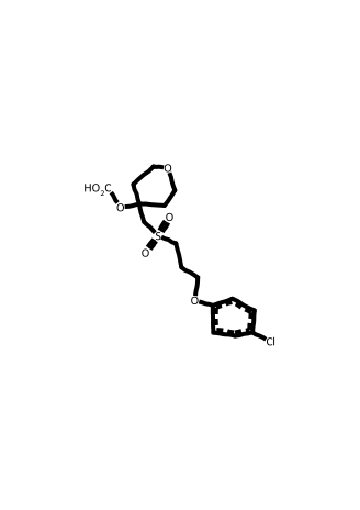 O=C(O)OC1(CS(=O)(=O)CCCOc2ccc(Cl)cc2)CCOCC1